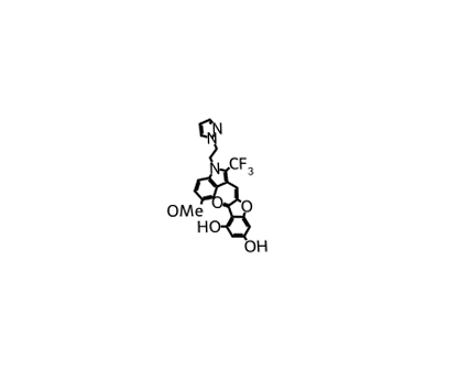 COc1ccc2c(c1)c(C=C1Oc3cc(O)cc(O)c3C1=O)c(C(F)(F)F)n2CCn1cccn1